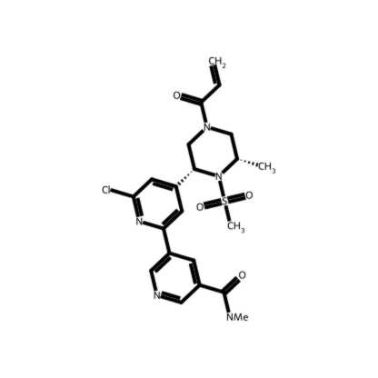 C=CC(=O)N1C[C@H](C)N(S(C)(=O)=O)[C@H](c2cc(Cl)nc(-c3cncc(C(=O)NC)c3)c2)C1